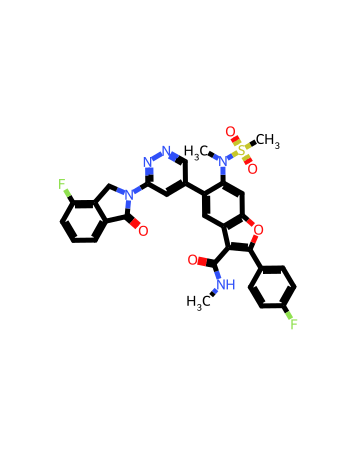 CNC(=O)c1c(-c2ccc(F)cc2)oc2cc(N(C)S(C)(=O)=O)c(-c3cnnc(N4Cc5c(F)cccc5C4=O)c3)cc12